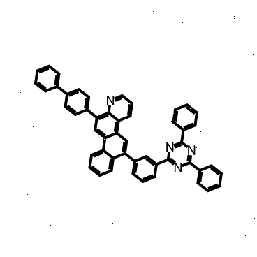 c1ccc(-c2ccc(-c3cc4c5ccccc5c(-c5cccc(-c6nc(-c7ccccc7)nc(-c7ccccc7)n6)c5)cc4c4cccnc34)cc2)cc1